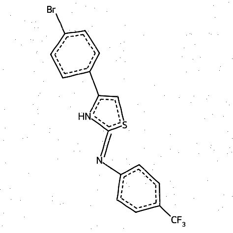 FC(F)(F)c1ccc(N=c2[nH]c(-c3ccc(Br)cc3)cs2)cc1